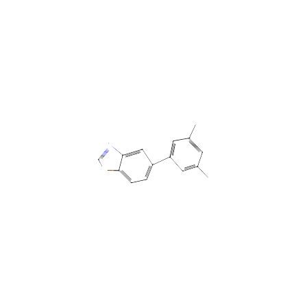 Cc1cc(C)cc(-c2ccc3scnc3c2)c1